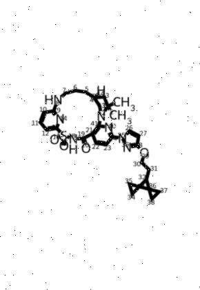 CC1(C)C[C@H]2CCCNc3cccc(n3)S(=O)(=O)NC(=O)c3ccc(-n4ccc(OCCC5C6(CC6)C56CC6)n4)nc3N1C2